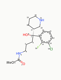 COC(=O)NCCCC(O)(c1cccc(Cl)c1F)[C@@H]1CCCNC1